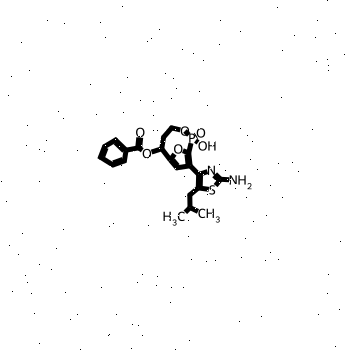 CC(C)Cc1sc(N)nc1-c1cc2oc1P(=O)(O)OCCC2OC(=O)c1ccccc1